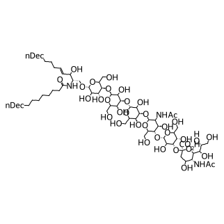 CCCCCCCCCCCCC/C=C/[C@@H](O)[C@H](CO[C@@H]1OC(CO)[C@@H](O[C@@H]2OC(CO)[C@H](O)[C@H](O[C@H]3OC(CO)[C@H](O)[C@H](O[C@@H]4OC(CO)[C@@H](O[C@@H]5OC(CO)[C@H](O)[C@H](O[C@]6(C(=O)O)CC(O)[C@@H](NC(C)=O)C([C@H](O)[C@H](O)CO)O6)C5O)[C@H](O)C4NC(C)=O)C3O)C2O)[C@H](O)C1O)NC(=O)CCCCCCCCCCCCCCCCC